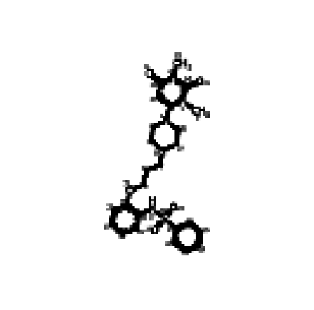 Cn1c(N2CCN(CCCOc3ccccc3NS(=O)(=O)c3ccccc3)CC2)cc(=O)n(C)c1=O